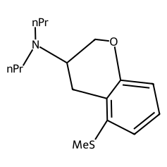 CCCN(CCC)C1COc2cccc(SC)c2C1